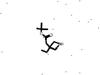 CCC1(CC(=O)OC(C)(C)C)CNC1